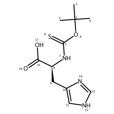 CC(C)(C)OC(=S)N[C@@H](Cc1c[nH]cn1)C(=O)O